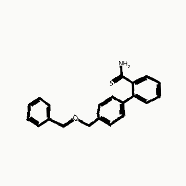 NC(=S)c1ccccc1-c1ccc(COCc2ccccc2)cc1